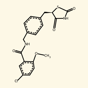 COc1ccc(Cl)cc1C(=O)NCc1ccc(C[C@H]2SC(=O)NC2=O)cc1